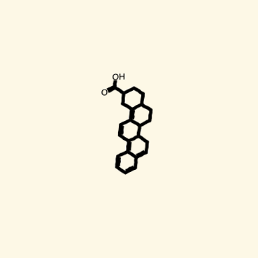 O=C(O)C1CCC2CCC3C(=C2C1)C=CC1=c2ccccc2=CCC13